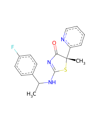 CC(NC1=NC(=O)[C@](C)(c2ccccn2)S1)c1ccc(F)cc1